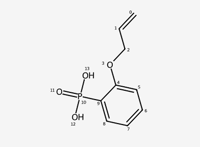 C=CCOc1ccccc1P(=O)(O)O